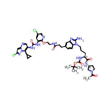 CC(=O)N1CC[C@@H](NC(=O)[C@H](CCCn2c(N)nc3cc(CCC(=O)NCCOc4ncc(Cl)cc4NC(=O)Nc4cnc5cc(Cl)nn5c4C4CC4)ccc32)NC(=O)OC(C)(C)C)C1